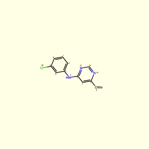 COc1cc(Nc2cccc(Cl)c2)ncn1